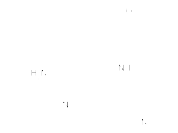 N#Cc1cnc(N)cc1NC1CCOC1